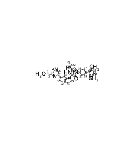 CCCc1cncc(-c2ccc3c(c2)[C@H]([C@H](NC(=O)C2(F)CC2)C(=O)Nc2ccc(-c4c(C)cnn4C)cc2)CC3)n1